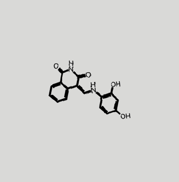 O=C1NC(=O)c2ccccc2C1=CNc1ccc(O)cc1O